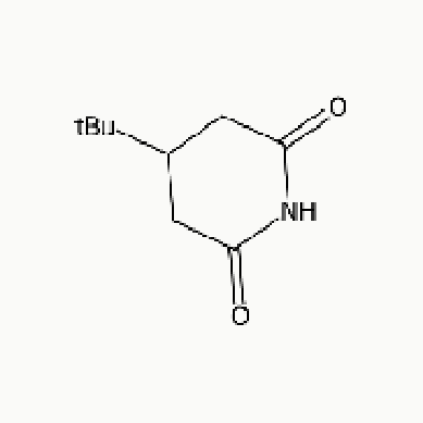 CC(C)(C)C1CC(=O)NC(=O)C1